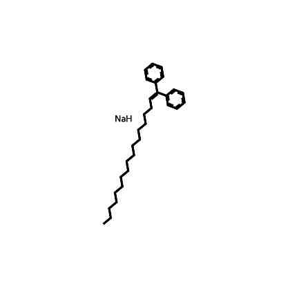 CCCCCCCCCCCCCCCCC=C(c1ccccc1)c1ccccc1.[NaH]